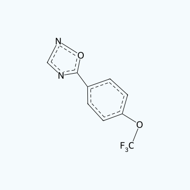 FC(F)(F)Oc1ccc(-c2ncno2)cc1